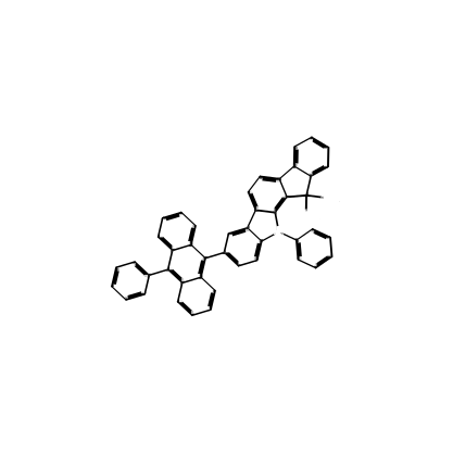 CC1(C)c2ccccc2-c2ccc3c4cc(-c5c6ccccc6c(-c6ccccc6)c6ccccc56)ccc4n(-c4ccccc4)c3c21